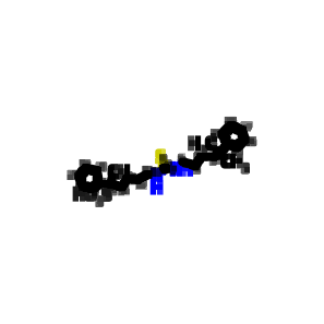 CC(C)(CCCCNC(=S)NCCCCC(C)(c1ccccc1)S(=O)(=O)O)c1ccccc1